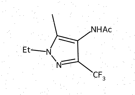 CCn1nc(C(F)(F)F)c(NC(C)=O)c1C